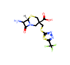 NC1C(=O)N2CC(CSc3nnc(C(F)(F)F)s3)(C(=O)O)CS[C@H]12